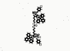 O=C(OCCCCC(CS(=O)(=O)NCc1ccc(Cl)cc1)c1c[nH]c(C(c2ccccc2)(c2ccccc2)c2ccccc2)n1)OCCCCC(CS(=O)(=O)NCc1ccc(Cl)cc1)c1c[nH]c(C(c2ccccc2)(c2ccccc2)c2ccccc2)n1